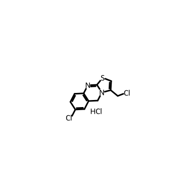 Cl.ClCC1=CSC2=Nc3ccc(Cl)cc3CN12